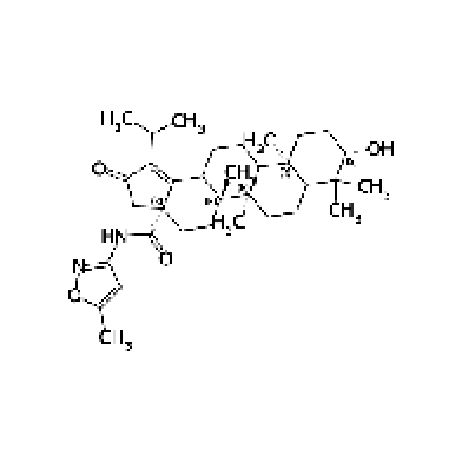 Cc1cc(NC(=O)[C@@]23CC[C@]4(C)C(CCC5[C@@]6(C)CC[C@H](O)C(C)(C)C6CC[C@]54C)C2=C(C(C)C)C(=O)C3)no1